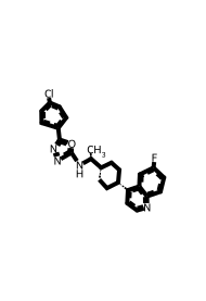 C[C@@H](Nc1nnc(-c2ccc(Cl)cc2)o1)[C@H]1CC[C@@H](c2ccnc3ccc(F)cc32)CC1